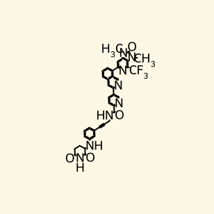 Cn1c(=O)n(C)c2c(C(F)(F)F)nc(-c3cccc4cc(-c5ccc(C(=O)NCC#Cc6cccc(NC7CCC(=O)NC7=O)c6)nc5)ncc34)cc21